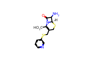 NC1C(=O)N2C(C(=O)O)=C(CSc3cccnc3)CS[C@H]12